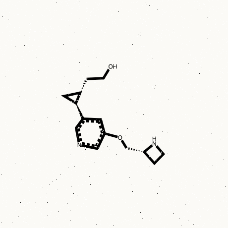 OCC[C@H]1C[C@@H]1c1cncc(OC[C@H]2CCN2)c1